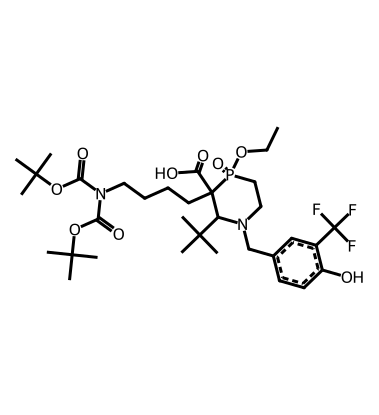 CCOP1(=O)CCN(Cc2ccc(O)c(C(F)(F)F)c2)C(C(C)(C)C)C1(CCCCN(C(=O)OC(C)(C)C)C(=O)OC(C)(C)C)C(=O)O